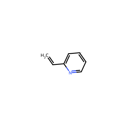 C=Cc1c[c]ccn1